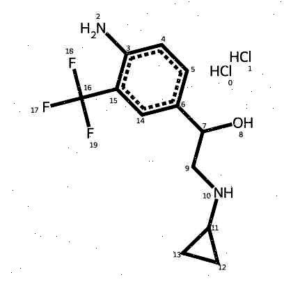 Cl.Cl.Nc1ccc(C(O)CNC2CC2)cc1C(F)(F)F